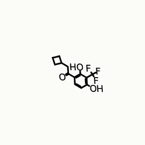 O=C(CC1CCC1)c1ccc(O)c(C(F)(F)F)c1O